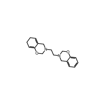 C1=C2CN(CCN3COc4ccccc4C3)COC2=CCC1